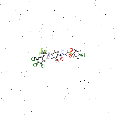 O=C(NCCS(=O)(=O)c1ccc(Cl)cc1)c1ccc(/C=C/C(c2cc(Cl)c(Cl)c(Cl)c2)C(F)(F)F)cc1Br